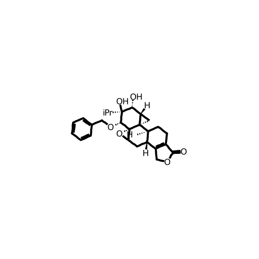 CC(C)[C@]1(O)[C@H](O)[C@@H]2C[C@]23[C@]2(O[C@H]2C[C@H]2C4=C(CC[C@@]23C)C(=O)OC4)[C@@H]1OCc1ccccc1